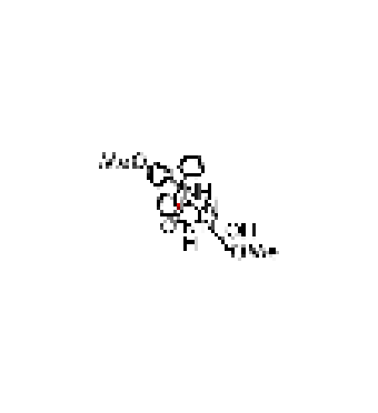 COC[C@@H](O)Cn1cnc2c(NC(c3ccccc3)(c3ccccc3)c3ccc(OC)cc3)nc(=O)[nH]c21